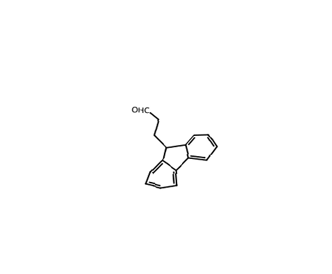 O=CCCC1c2ccccc2-c2ccccc21